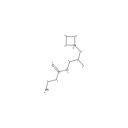 CC(C)CCC(=O)OCC(C)CN1CCC1